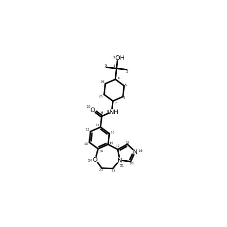 CC(C)(O)C1CCC(NC(=O)c2ccc3c(c2)-c2cncn2CCO3)CC1